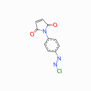 O=C1C=CC(=O)N1c1ccc(N=NCl)cc1